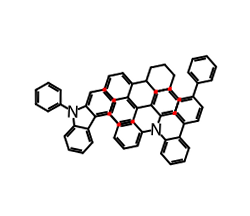 c1ccc(-c2ccc(-c3ccccc3N(c3cccc(-c4cccc5c4c4ccccc4n5-c4ccccc4)c3)c3ccccc3-c3cccc4cccc(C5CCCCC5)c34)cc2)cc1